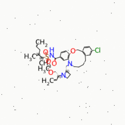 C=CC[C@H](C)[C@@H](C)S(=O)(=O)NC(=O)c1ccc2c(c1)N(C[C@@H]1CCN1[C@H](C=C)COC)CCCCc1cc(Cl)ccc1CO2